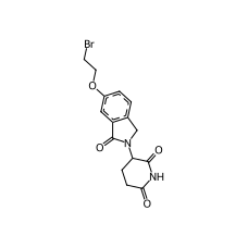 O=C1CCC(N2Cc3ccc(OCCBr)cc3C2=O)C(=O)N1